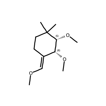 COC=C1CCC(C)(C)[C@H](OC)[C@@H]1OC